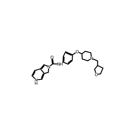 O=C(Nc1ccc(OC2CCN(CC3CCOC3)CC2)cc1)N1C=C2C=CNC=C2C1